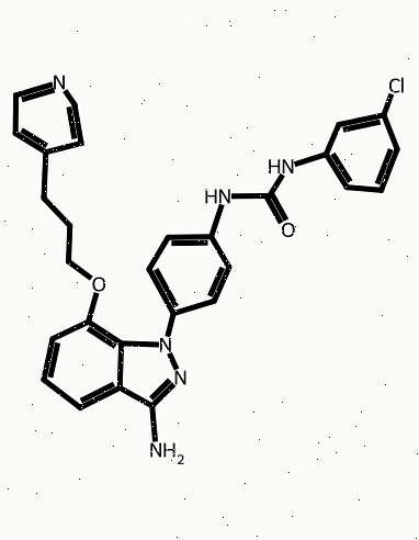 Nc1nn(-c2ccc(NC(=O)Nc3cccc(Cl)c3)cc2)c2c(OCCCc3ccncc3)cccc12